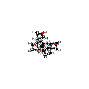 CC(C(=O)NCC(=O)NCC(CNC(=O)CNC(=O)C(C)N1CCN(CC(=O)O)CCN(CC(=O)O)CCN(CC(=O)O)CC1)(CNC(=O)CNC(=O)C(C)N1CCN(CC(=O)O)CCN(CC(=O)O)CCN(CC(=O)O)CC1)CNC(=O)CNC(O)C(C)N1CCN(CC(=O)O)CCN(CC(=O)O)CCN(CC(=O)O)CC1)N1CCN(CC(=O)O)CCN(CC(=O)O)CCN(CC(=O)O)CC1